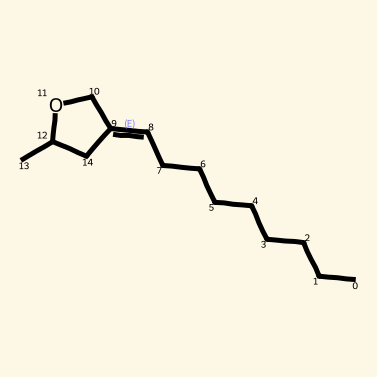 CCCCCCCC/C=C1/COC(C)C1